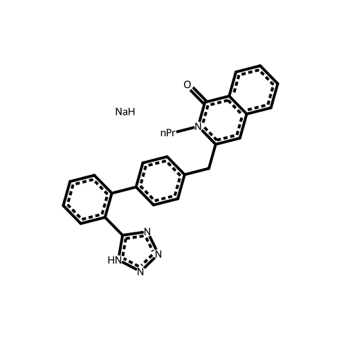 CCCn1c(Cc2ccc(-c3ccccc3-c3nnn[nH]3)cc2)cc2ccccc2c1=O.[NaH]